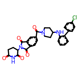 O=C1CCC(N2C(=O)c3ccc(C(=O)N4CCC(Nc5ccccc5-c5ccc(Cl)cc5)CC4)cc3C2=O)C(=O)N1